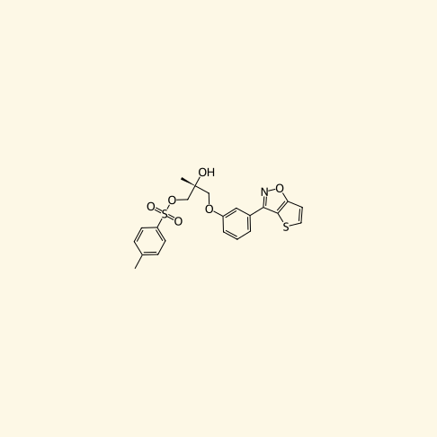 Cc1ccc(S(=O)(=O)OC[C@](C)(O)COc2cccc(-c3noc4ccsc34)c2)cc1